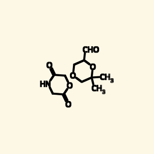 CC1(C)COCC(C=O)O1.O=C1COC(=O)CN1